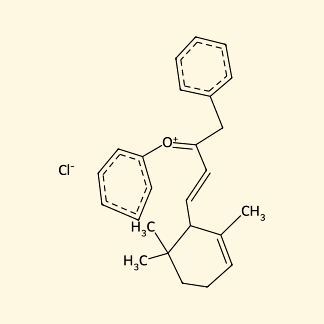 CC1=CCCC(C)(C)C1C=CC(Cc1ccccc1)=[O+]c1ccccc1.[Cl-]